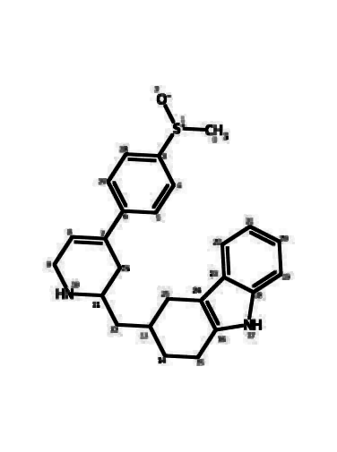 C[S+]([O-])c1ccc(C2=CCNC(CC3CCc4[nH]c5ccccc5c4C3)C2)cc1